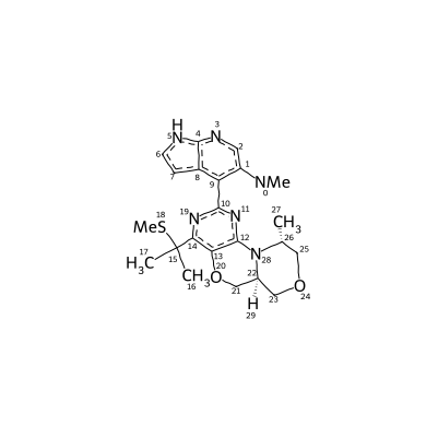 CNc1cnc2[nH]ccc2c1-c1nc2c(c(C(C)(C)SC)n1)OC[C@@H]1COC[C@@H](C)N21